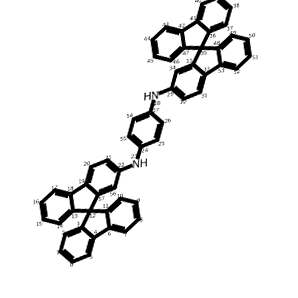 c1ccc2c(c1)-c1ccccc1C21c2ccccc2-c2ccc(Nc3ccc(Nc4ccc5c(c4)C4(c6ccccc6-c6ccccc64)c4ccccc4-5)cc3)cc21